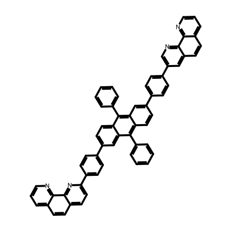 c1ccc(-c2c3ccc(-c4ccc(-c5ccc6ccc7cccnc7c6n5)cc4)cc3c(-c3ccccc3)c3ccc(-c4ccc(-c5cnc6c(ccc7cccnc76)c5)cc4)cc23)cc1